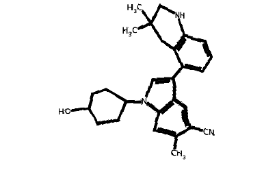 Cc1cc2c(cc1C#N)c(-c1cccc3c1CC(C)(C)CN3)cn2C1CCC(O)CC1